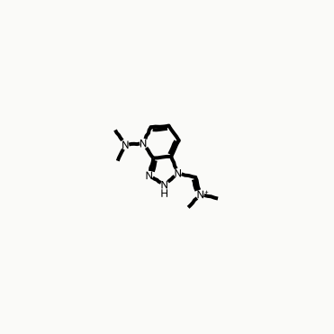 CN(C)N1C=CC=C2C1=NNN2C=[N+](C)C